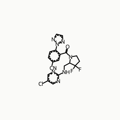 N#Cc1ccc(-n2nccn2)c(C(=O)N2CCC(F)(F)C2CNc2ncc(Cl)cn2)c1